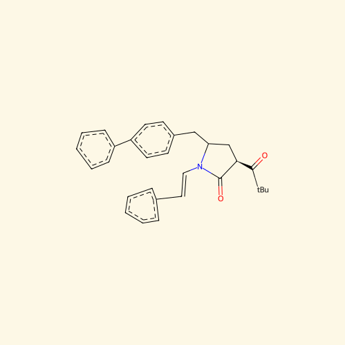 CC(C)(C)C(=O)[C@@H]1CC(Cc2ccc(-c3ccccc3)cc2)N(C=Cc2ccccc2)C1=O